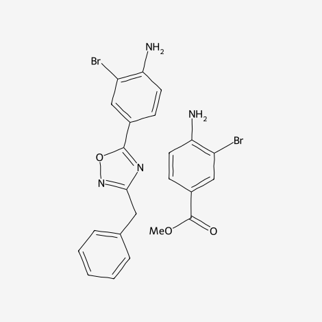 COC(=O)c1ccc(N)c(Br)c1.Nc1ccc(-c2nc(Cc3ccccc3)no2)cc1Br